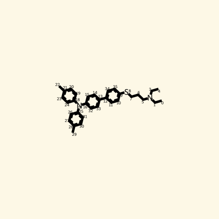 CCN(CC)CCCSc1ccc(-c2ccc(N(c3ccc(C)cc3)c3ccc(C)cc3)cc2)cc1